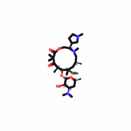 CO[C@]1(C)C[C@@H](C)CN(C)[C@H](C2CCN(C)C2)COC(=O)C(C)(C)C(=O)[C@H](C)[C@H]1O[C@@H]1O[C@H](C)C[C@H](N(C)C)[C@H]1O